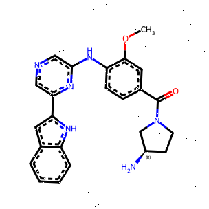 COc1cc(C(=O)N2CC[C@@H](N)C2)ccc1Nc1cncc(-c2cc3ccccc3[nH]2)n1